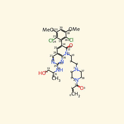 C=CC(=O)N1CCN(CCCn2c(=O)c(-c3c(Cl)c(OC)cc(OC)c3Cl)cc3cnc(NC(C)CO)nc32)CC1